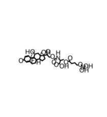 C[C@]12C=CC(=O)C=C1CC[C@H]1C3CCC(O)(C(=O)COC(=O)NC(COC(=O)CCCON(O)O)C(=O)O)[C@@]3(C)C[C@H](O)C12F